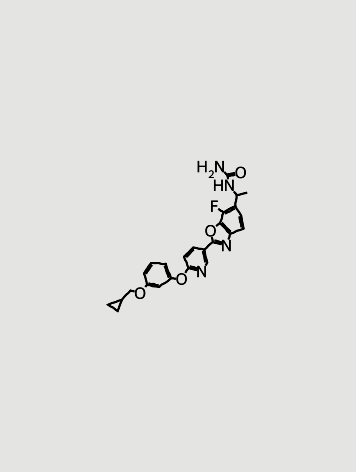 CC(NC(N)=O)c1ccc2nc(-c3ccc(Oc4cccc(OCC5CC5)c4)nc3)oc2c1F